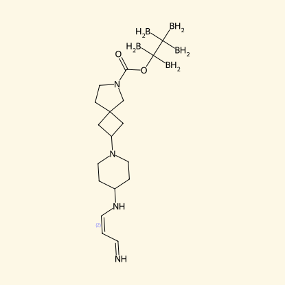 BC(B)(B)C(B)(B)OC(=O)N1CCC2(CC(N3CCC(N/C=C\C=N)CC3)C2)C1